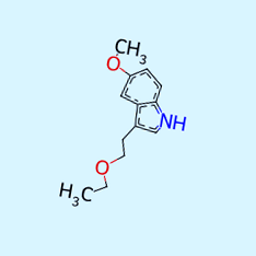 CCOCCc1c[nH]c2ccc(OC)cc12